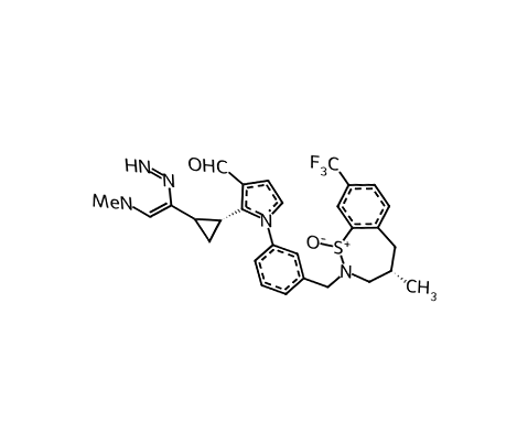 CN/C=C(\N=N)C1C[C@H]1c1c(C=O)ccn1-c1cccc(CN2C[C@@H](C)Cc3ccc(C(F)(F)F)cc3[S+]2[O-])c1